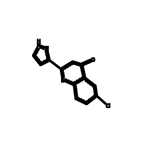 O=c1cc(-c2cc[nH]n2)sc2ccc(Cl)cc12